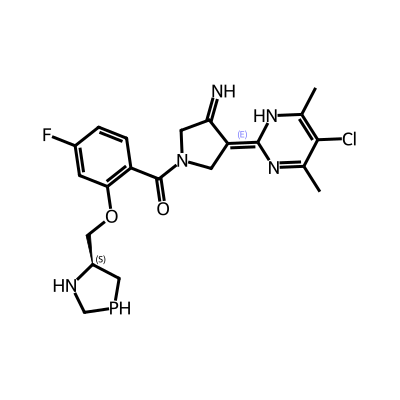 CC1=N/C(=C2\CN(C(=O)c3ccc(F)cc3OC[C@H]3CPCN3)CC2=N)NC(C)=C1Cl